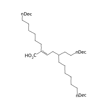 CCCCCCCCCCCCCCCC/C(=C\CC(CCCCCCCCCCCC)CCCCCCCCCCCCCCCC)C(=O)O